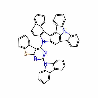 c1ccc2c(c1)ccc1c2c2c3c4ccccc4n4c5ccccc5c(cc2n1-c1nc(-n2c5ccccc5c5ccccc52)nc2sc5ccccc5c12)c34